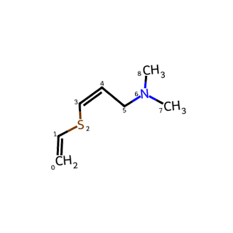 C=CS/C=C\CN(C)C